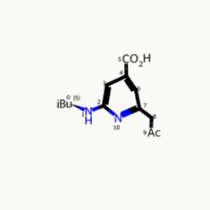 CC[C@H](C)Nc1cc(C(=O)O)cc(CC(C)=O)n1